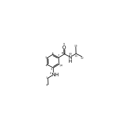 CCNc1cccc(C(=O)NC(C)C)c1